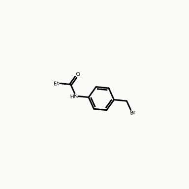 CCC(=O)Nc1ccc(CBr)cc1